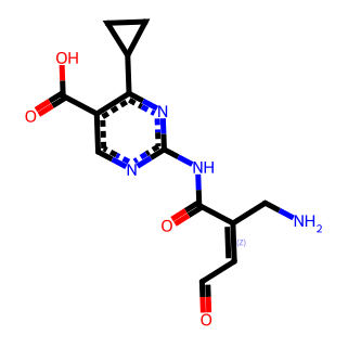 NC/C(=C/C=O)C(=O)Nc1ncc(C(=O)O)c(C2CC2)n1